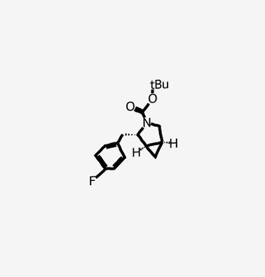 CC(C)(C)OC(=O)N1C[C@H]2C[C@H]2[C@@H]1Cc1ccc(F)cc1